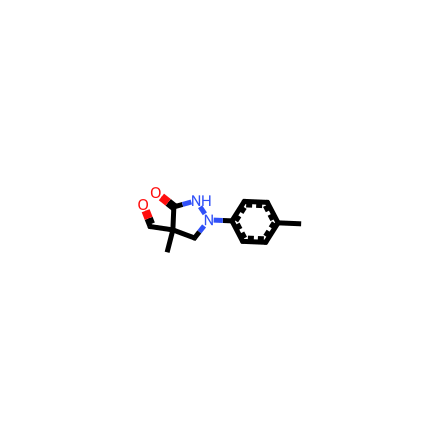 Cc1ccc(N2CC(C)(C=O)C(=O)N2)cc1